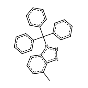 Cc1cccc2c1nnn2C(c1ccccc1)(c1ccccc1)c1ccccc1